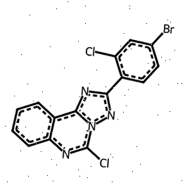 Clc1cc(Br)ccc1-c1nc2c3ccccc3nc(Cl)n2n1